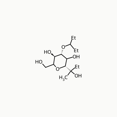 CCC(CC)O[C@@H]1C(O)[C@H](C(C)(O)CC)OC(CO)[C@H]1O